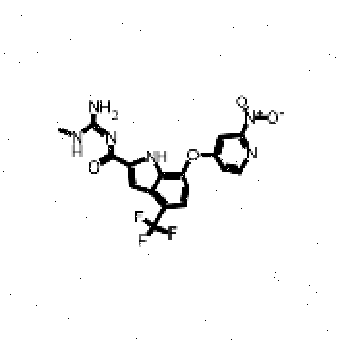 CNC(N)=NC(=O)c1cc2c(C(F)(F)F)ccc(Oc3ccnc([N+](=O)[O-])c3)c2[nH]1